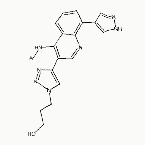 CC(C)Nc1c(-c2cn(CCCO)nn2)cnc2c(-c3cn[nH]c3)cccc12